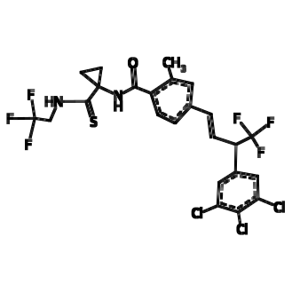 Cc1cc(/C=C/C(c2cc(Cl)c(Cl)c(Cl)c2)C(F)(F)F)ccc1C(=O)NC1(C(=S)NCC(F)(F)F)CC1